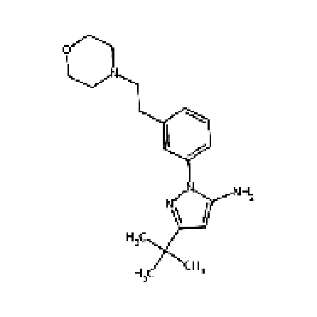 CC(C)(C)c1cc(N)n(-c2cccc(CCN3CCOCC3)c2)n1